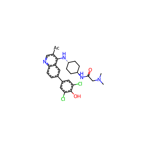 CC(=O)c1cnc2ccc(-c3cc(Cl)c(O)c(Cl)c3)cc2c1N[C@H]1CC[C@H](NC(=O)CN(C)C)CC1